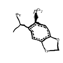 CC(C)C(C)c1cc2c(cc1[N+](=O)[O-])OCO2